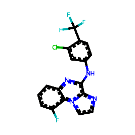 Fc1cccc2nc(Nc3ccc(C(F)(F)F)c(Cl)c3)c3nccn3c12